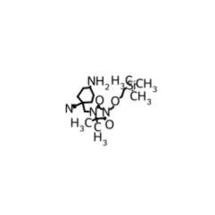 CC1(C)C(=O)N(COCC[Si](C)(C)C)C(=O)N1CC1(C#N)CCC(N)CC1